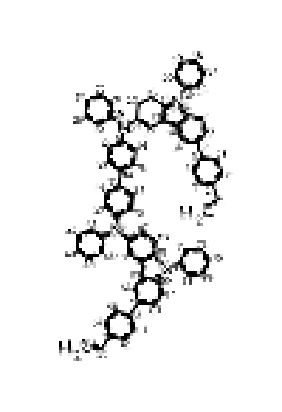 C=Cc1ccc(-c2ccc3c(c2)c2c(n3-c3ccccc3)CCC(N(c3ccccc3)c3ccc(-c4ccc(N(c5ccccc5)c5ccc6c(c5)c5cc(-c7ccc(C=C)cc7)ccc5n6-c5ccccc5)cc4)cc3)=C2)cc1